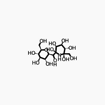 OC[C@H]1O[C@@H](C(O)[C@@]2(O)N[C@@](O)(CO)[C@@H](O)[C@H](O)[C@H]2O)[C@H](O)[C@@H](O)[C@@H]1O